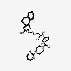 N=c1cc2c(nn1CCCCC(=O)N[C@H]1CC[C@@H](C(=O)N3CCN(c4ncccn4)CC3)C1)-c1ccccc1CC2